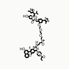 CCC(=O)N1CCN(c2nc(NCCC(=O)N(C)CCOCCOCCOc3cc(-c4scnc4C)ccc3CNC(=O)[C@@H]3C[C@@H](O)CN3C(=O)[C@@H](c3cc(C)no3)C(C)C)nc3c(F)c(-c4cc(O)cc5ccccc45)c(Cl)cc23)CC1